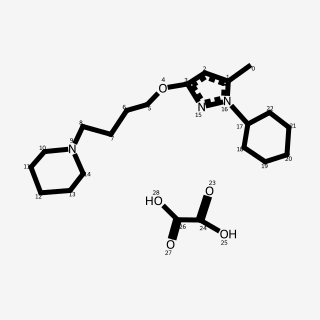 Cc1cc(OCCCCN2CCCCC2)nn1C1CCCCC1.O=C(O)C(=O)O